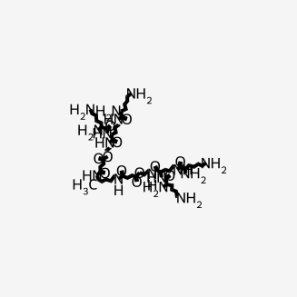 CC(CCCCNC(=O)CCC(=O)OCCNC(=O)C(CCCNC(=O)C(N)CCCCN)NC(=O)C(N)CCCCN)NC(=O)CCC(=O)OCCNC(=O)C(CCCNC(=O)C(N)CCCCN)NC(=O)C(N)CCCCN